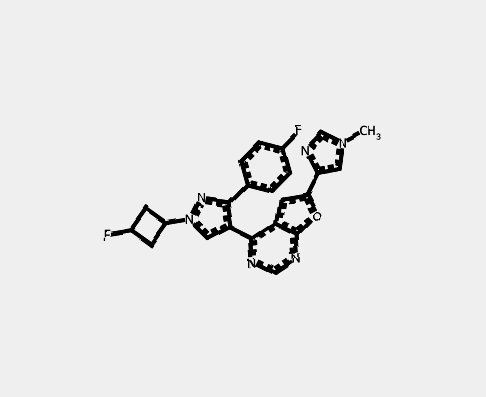 Cn1cnc(-c2cc3c(-c4cn(C5CC(F)C5)nc4-c4ccc(F)cc4)ncnc3o2)c1